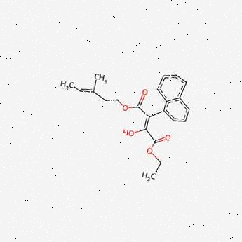 C/C=C(\C)CCOC(=O)/C(=C(\O)C(=O)OCC)c1cccc2ccccc12